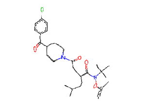 CC(C)CC(CC(=O)N1CCC(C(=O)c2ccc(Cl)cc2)CC1)C(=O)N(O[SiH](C)C)C(C)(C)C